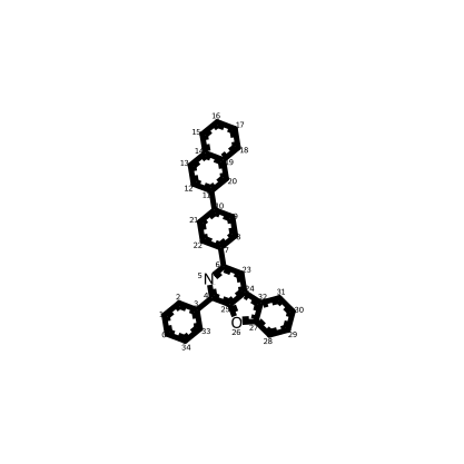 c1ccc(-c2nc(-c3ccc(-c4ccc5ccccc5c4)cc3)cc3c2oc2ccccc23)cc1